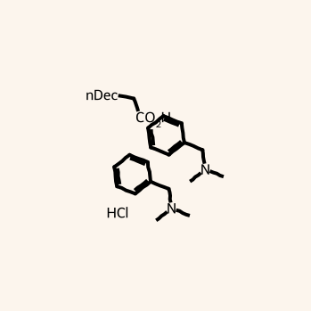 CCCCCCCCCCCC(=O)O.CN(C)Cc1ccccc1.CN(C)Cc1ccccc1.Cl